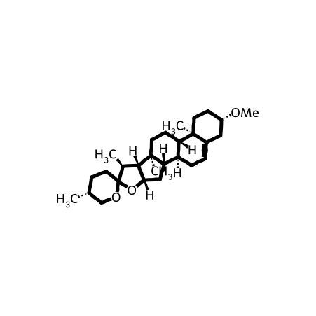 CO[C@H]1CC[C@@]2(C)C(=CC[C@H]3[C@@H]4C[C@@H]5OC6(CC[C@@H](C)CO6)[C@@H](C)[C@@H]5[C@@]4(C)CC[C@@H]32)C1